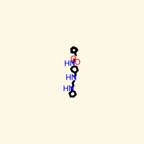 O=C(NC1CCC(CNCCCNC2CCCCC2)CC1)OCc1ccccc1